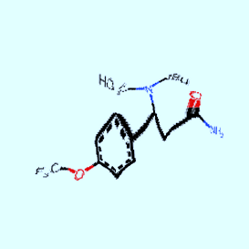 CC(C)(C)N(C(=O)O)C(CC(N)=O)c1ccc(OC(F)(F)F)cc1